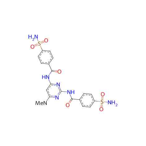 CNc1cc(NC(=O)c2ccc(S(N)(=O)=O)cc2)nc(NC(=O)c2ccc(S(N)(=O)=O)cc2)n1